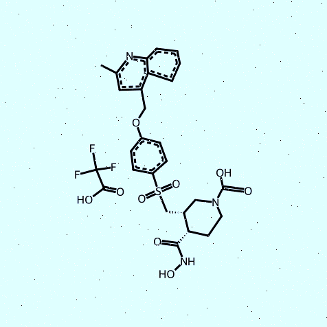 Cc1cc(COc2ccc(S(=O)(=O)C[C@@H]3CN(C(=O)O)CC[C@@H]3C(=O)NO)cc2)c2ccccc2n1.O=C(O)C(F)(F)F